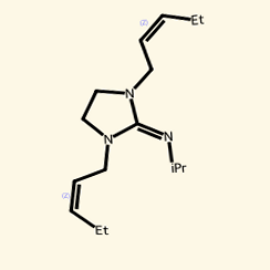 CC/C=C\CN1CCN(C/C=C\CC)C1=NC(C)C